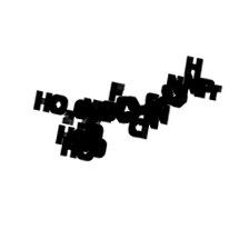 CC(C)Nc1ccc(-c2nnc(-c3cc(F)c(OC[C@H](NC(=O)O)[C@H](C)OP(=O)(O)O)cc3Cl)s2)cn1